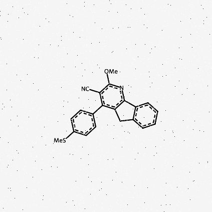 COc1nc2c(c(-c3ccc(SC)cc3)c1C#N)Cc1ccccc1-2